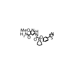 COc1ncc(NC(=O)C(=O)N2CCCC[C@H]2c2ccc(-c3cncs3)cc2)cc1C(N)=O